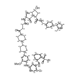 COc1cc(N2CCC(N3CCN(C(=O)CCC(=O)N[C@H](C(=O)N4C[C@H](O)C[C@H]4C(=O)NCc4ccc(-c5scnc5C)cc4)C(C)(C)C)CC3)CC2)ccc1Nc1ncc(Cl)c(Nc2ccccc2S(=O)(=O)C(C)C)n1